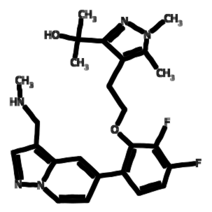 CNCc1cnn2ccc(-c3ccc(F)c(F)c3OCCc3c(C(C)(C)O)nn(C)c3C)cc12